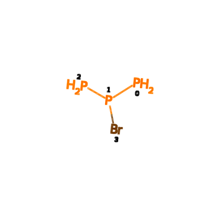 PP(P)Br